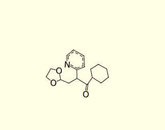 O=C(C1CCCCC1)C(CC1OCCO1)c1ccccn1